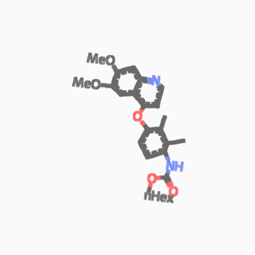 CCCCCCOC(=O)Nc1ccc(Oc2ccnc3cc(OC)c(OC)cc23)c(C)c1C